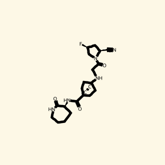 N#C[C@@H]1C[C@H](F)CN1C(=O)CNC12CCC(C(=O)N[C@H]3CCCCNC3=O)(CC1)CC2